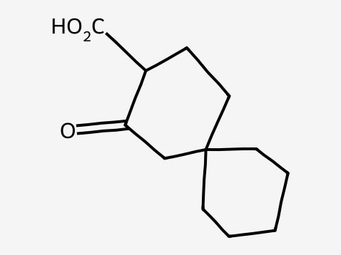 O=C(O)C1CCC2(CCCCC2)CC1=O